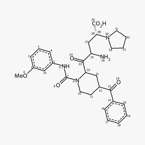 COc1cccc(NC(=O)N2CCC(C(=O)c3ccccc3)CC2C(=O)C(N)C[C@H](C(=O)O)N2CCCC2)c1